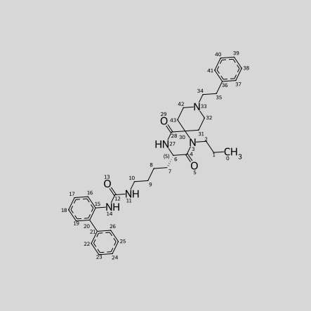 CCCN1C(=O)[C@H](CCCCNC(=O)Nc2ccccc2-c2ccccc2)NC(=O)C12CCN(CCc1ccccc1)CC2